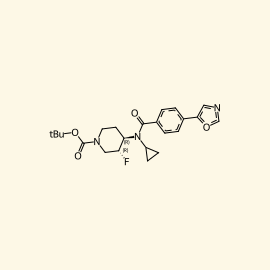 CC(C)(C)OC(=O)N1CC[C@@H](N(C(=O)c2ccc(-c3cnco3)cc2)C2CC2)[C@H](F)C1